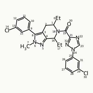 CCC1Cc2c(nn(C)c2-c2cccc(Cl)c2)C(CC)N1C(=O)c1ncn(-c2cccc(Cl)c2)n1